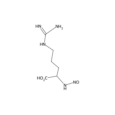 N=C(N)NCCCC(NN=O)C(=O)O